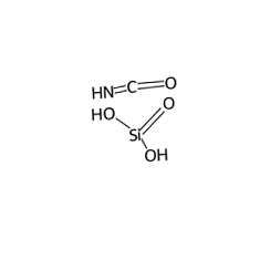 N=C=O.O=[Si](O)O